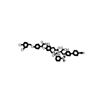 N#Cc1ccc(-c2ccc(CC(NC(=O)C3Cc4cc5c(cc4CN3S(=O)(=O)c3cccc([N+](=O)[O-])c3)OC(c3ccc(OCc4ccc(Cl)c(Cl)c4)cc3)C(=O)N5)C(=O)O)cc2)cc1